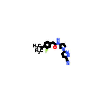 C=C(C)c1ccc(CC(=O)NC2CCN(c3ccc(C#N)nn3)C2)cc1F